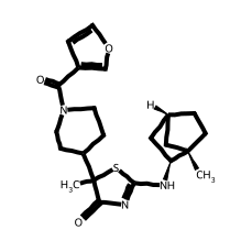 CC1(C2CCN(C(=O)c3ccoc3)CC2)SC(N[C@H]2C[C@@H]3CC[C@@]2(C)C3)=NC1=O